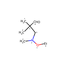 CCON(C)CC(C)(C)C=O